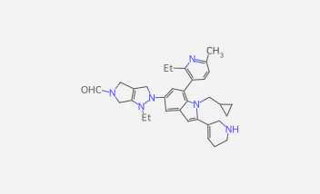 CCc1nc(C)ccc1-c1cc(N2CC3=C(CN(C=O)C3)N2CC)cc2cc(C3=CCCNC3)n(CC3CC3)c12